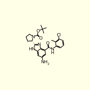 Cc1c(Cl)cccc1NC(=O)c1cc(N)cc2[nH]c([C@@H]3CCCN3C(=O)OC(C)(C)C)nc12